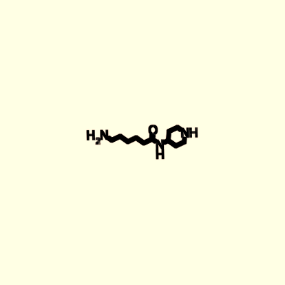 NCCCCCC(=O)NC1CCNCC1